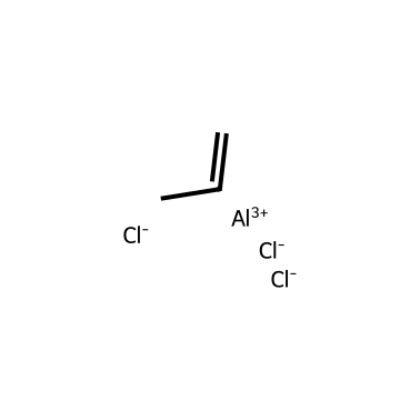 C=CC.[Al+3].[Cl-].[Cl-].[Cl-]